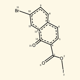 O=C(OI)c1ccc2ccc(Br)cn2c1=O